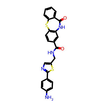 Nc1ccc(-c2ncc(CNC(=O)c3ccc4c(c3)NC(=O)c3ccccc3S4)s2)cc1